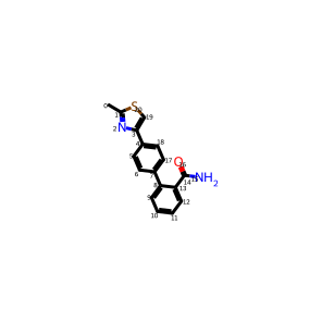 Cc1nc(-c2ccc(-c3ccccc3C(N)=O)cc2)cs1